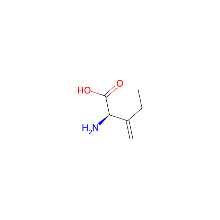 C=C(CC)[C@@H](N)C(=O)O